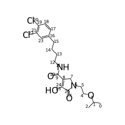 CC(C)OCCN1CC(C(=O)NCCCCc2ccc(Cl)c(Cl)c2)=C(O)C1=O